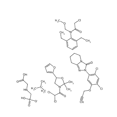 C#CCOc1cc(-n2nc3n(c2=O)CCCC3)c(Cl)cc1Cl.CC1(C)OC(c2ccco2)CN1C(=O)C(Cl)Cl.CCc1cccc(CC)c1N(COC)C(=O)CCl.C[S+](C)C.O=C(O)CNCP(=O)([O-])O